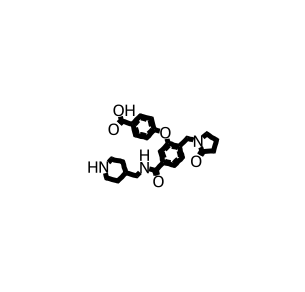 O=C(O)c1ccc(Oc2cc(C(=O)NCC3CCNCC3)ccc2CN2CCCC2=O)cc1